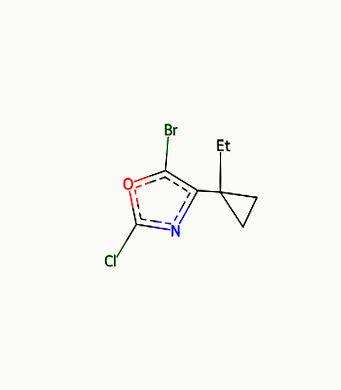 CCC1(c2nc(Cl)oc2Br)CC1